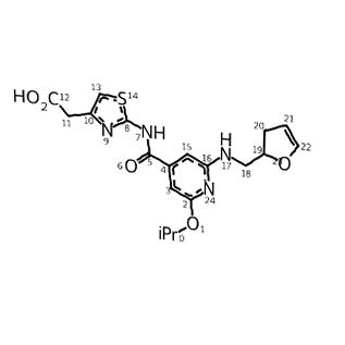 CC(C)Oc1cc(C(=O)Nc2nc(CC(=O)O)cs2)cc(NCC2CC=CO2)n1